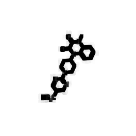 Cn1c(=O)c(=O)n(C2CCN(c3ncc(C(=O)O)cn3)CC2)c2ccccc21